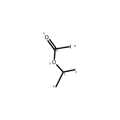 CC(C)OC(=O)I